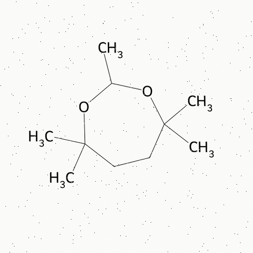 CC1OC(C)(C)CCC(C)(C)O1